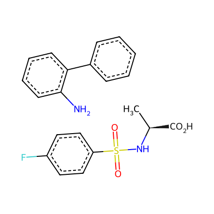 C[C@H](NS(=O)(=O)c1ccc(F)cc1)C(=O)O.Nc1ccccc1-c1ccccc1